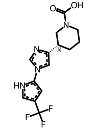 O=C(O)N1CCC[C@H](c2cn(-c3cc(C(F)(F)F)c[nH]3)cn2)C1